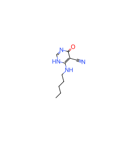 CCCCCNc1[nH]cnc(=O)c1C#N